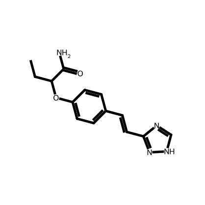 CCC(Oc1ccc(C=Cc2nc[nH]n2)cc1)C(N)=O